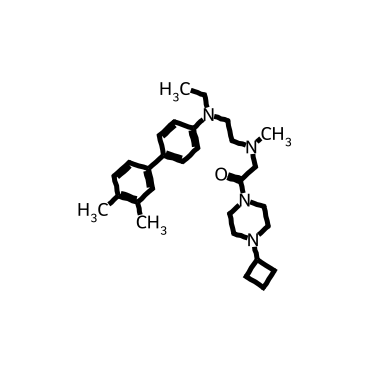 CCN(CCN(C)CC(=O)N1CCN(C2CCC2)CC1)c1ccc(-c2ccc(C)c(C)c2)cc1